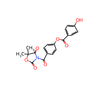 CC1(C)OC(=O)N(C(=O)c2ccc(OC(=O)c3ccc(O)cc3)cc2)C1=O